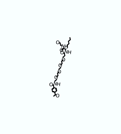 CCCCCC[C@H](NC(=O)CCOCCOCCOCCOCCNC(=O)c1ccc(C(C)=O)cc1)C(=O)NCC=O